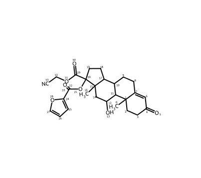 CC12CCC(=O)C=C1CCC1C2C(O)CC2(C)C1CCC2(OC(=O)c1ccco1)C(=O)OCC#N